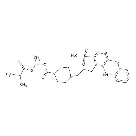 CC(OC(=O)C(C)C)OC(=O)C1CCN(CCCc2c(S(C)(=O)=O)ccc3c2Nc2ccccc2S3)CC1